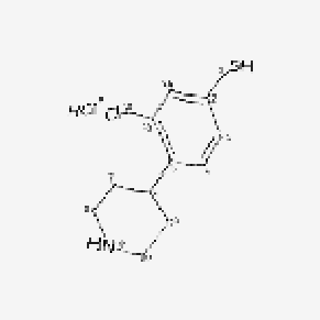 Cl.Sc1ccc(C2CCNCC2)c(Cl)c1